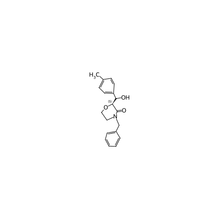 Cc1ccc(C(O)[C@@H]2OCCN(Cc3ccccc3)C2=O)cc1